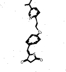 CC(C)c1ccc(CCOc2ccc(/C=C3\SC(=O)CC3=O)cc2)nc1